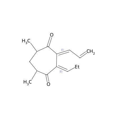 C=C/C=C1/C(=O)C(C)CC(C)C(=O)/C1=C/CC